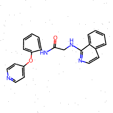 O=C(CNc1nccc2ccccc12)Nc1ccccc1Oc1ccncc1